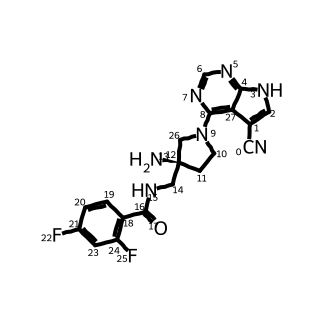 N#Cc1c[nH]c2ncnc(N3CC[C@](N)(CNC(=O)c4ccc(F)cc4F)C3)c12